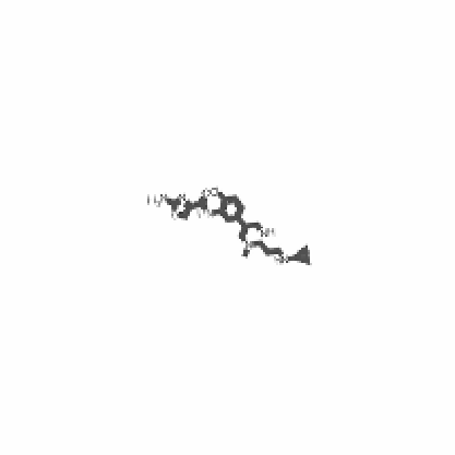 CN(/C=C(\C=N)c1ccc(Cl)c(NC(=O)c2coc(N)n2)c1)CCCNC1CC1